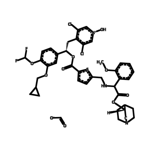 COc1ccccc1C(NCc1ccc(C(=O)O[C@@H](Cc2c(Cl)c[n+](O)cc2Cl)c2ccc(OC(F)F)c(OCC3CC3)c2)s1)C(=O)O[C@H]1CN2CCC1CC2.O=C[O-]